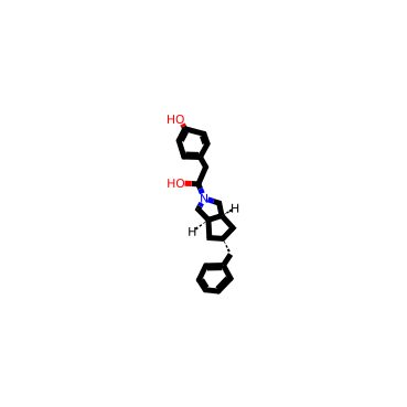 Oc1ccc(CC(O)N2C[C@H]3C[C@H](Cc4ccccc4)C[C@H]3C2)cc1